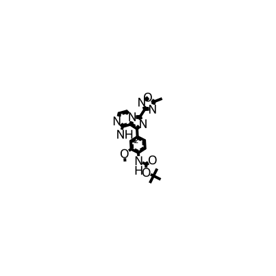 COc1cc(-c2nc(-c3noc(C)n3)n3ccnc(N)c23)ccc1NC(=O)OC(C)(C)C